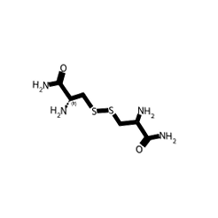 NC(=O)C(N)CSSC[C@H](N)C(N)=O